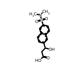 CN(C)S(=O)(=O)c1ccc2cc(C(O)CC(=O)O)ccc2c1